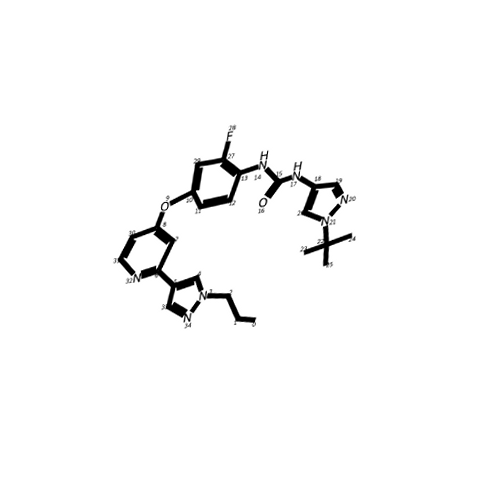 CCCn1cc(-c2cc(Oc3ccc(NC(=O)Nc4cnn(C(C)(C)C)c4)c(F)c3)ccn2)cn1